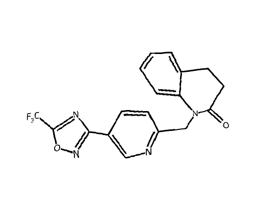 O=C1CCc2ccccc2N1Cc1ccc(-c2noc(C(F)(F)F)n2)cn1